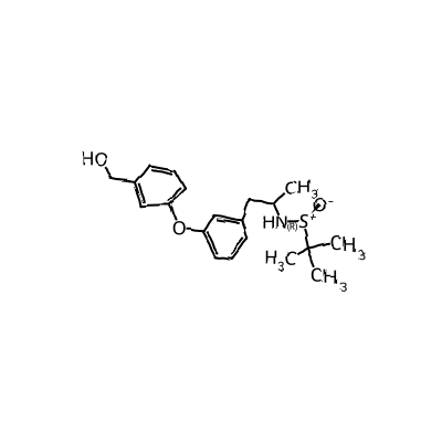 CC(Cc1cccc(Oc2cccc(CO)c2)c1)N[S@@+]([O-])C(C)(C)C